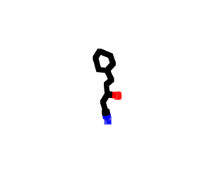 N#CCC(=O)CCC1CCCCC1